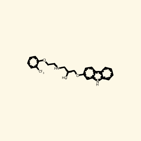 OC(CNCCOc1ccccc1C(F)(F)F)COc1ccc2c(c1)[nH]c1ccccc12